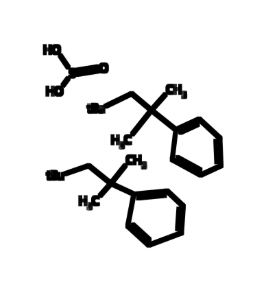 CC(C)(C)CC(C)(C)c1ccccc1.CC(C)(C)CC(C)(C)c1ccccc1.O=S(O)O